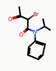 CC(=O)C(Br)C(=O)N(c1ccccc1)C(C)C